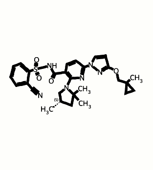 C[C@@H]1CN(c2nc(-n3ccc(OCC4(C)CC4)n3)ccc2C(=O)NS(=O)(=O)c2ccccc2C#N)C(C)(C)C1